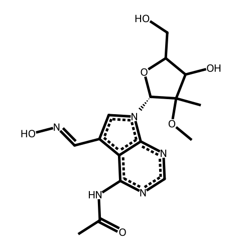 COC1(C)C(O)C(CO)O[C@H]1n1cc(C=NO)c2c(NC(C)=O)ncnc21